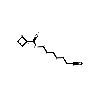 C#CCCCCCCOC(=O)C1CCC1